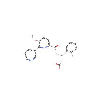 COc1ccc(C(=O)N[C@@H](CC(=O)O)c2ccccc2C)nc1-c1cccnc1